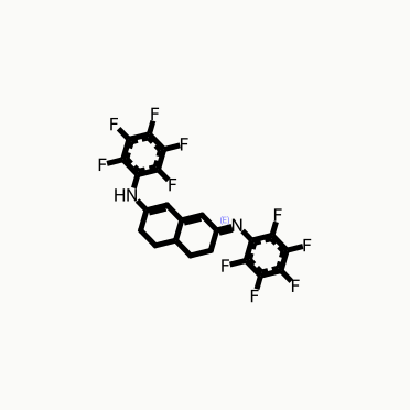 Fc1c(F)c(F)c(/N=C2/C=C3C=C(Nc4c(F)c(F)c(F)c(F)c4F)CCC3CC2)c(F)c1F